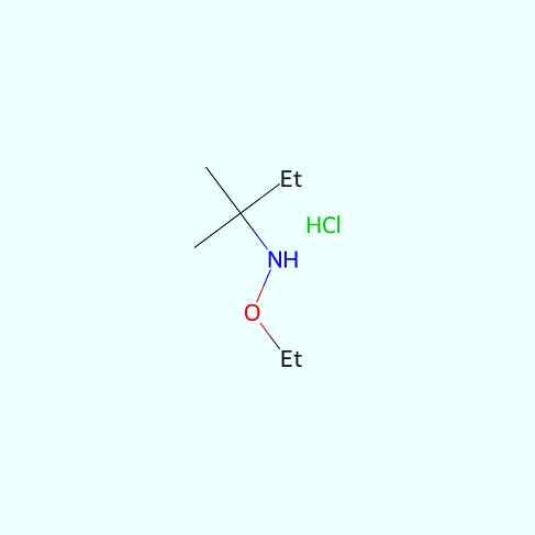 CCONC(C)(C)CC.Cl